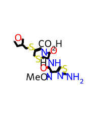 CO/N=C(\C(=O)NC1C(=O)N2C(C(=O)O)=C(SCC3CCOC3)CS[C@H]12)c1csc(N)n1